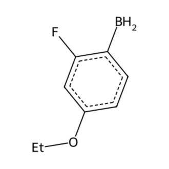 Bc1ccc(OCC)cc1F